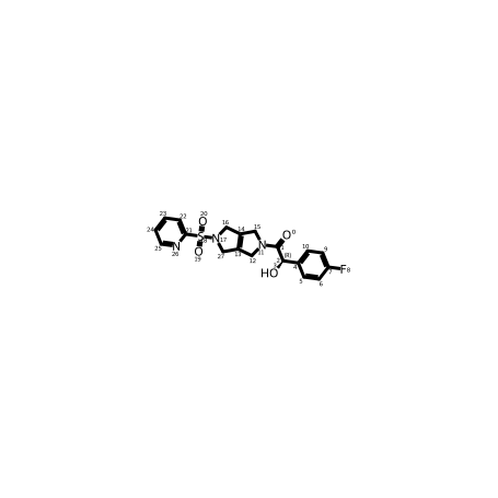 O=C([C@H](O)c1ccc(F)cc1)N1CC2=C(C1)CN(S(=O)(=O)c1ccccn1)C2